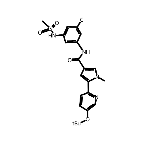 Cn1cc(C(=O)Nc2cc(Cl)cc(NS(C)(=O)=O)c2)cc1-c1ccc(OC(C)(C)C)cn1